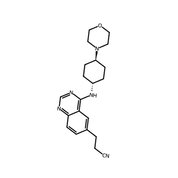 N#CCCc1ccc2ncnc(N[C@H]3CC[C@H](N4CCOCC4)CC3)c2c1